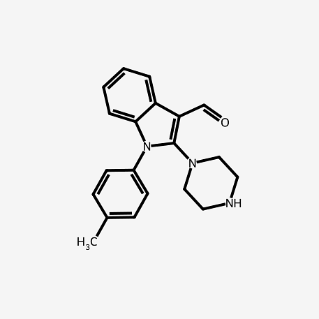 Cc1ccc(-n2c(N3CCNCC3)c(C=O)c3ccccc32)cc1